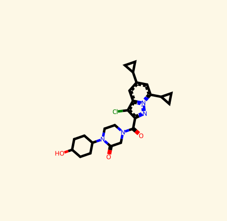 O=C(c1nn2c(C3CC3)cc(C3CC3)cc2c1Cl)N1CCN(C2CCC(O)CC2)C(=O)C1